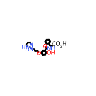 O=C(O)CC(NC(=O)c1cc(OCCCNC2=NCCCN2)ccc1O)c1ccccc1